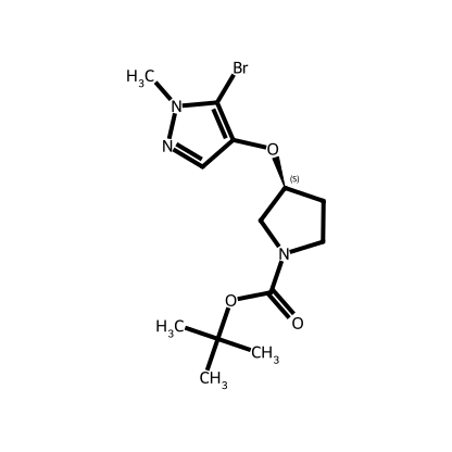 Cn1ncc(O[C@H]2CCN(C(=O)OC(C)(C)C)C2)c1Br